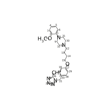 COc1ccccc1N1CCN(CCCCOc2ccc(Cn3nnnc3C)cc2)CC1